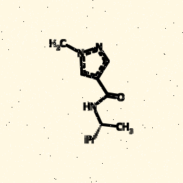 CC(C)[C@@H](C)NC(=O)c1cnn(C)c1